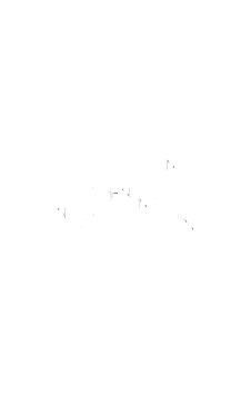 Cn1ccc2cc(NN=C(C#N)C#N)ccc21